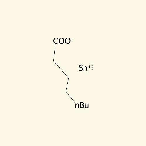 CCCCCCCC(=O)[O-].[Sn+]